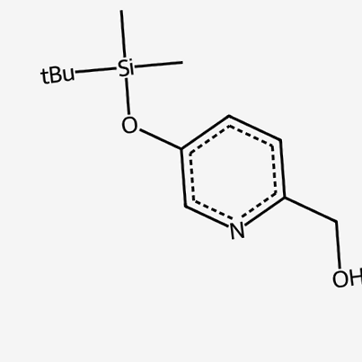 CC(C)(C)[Si](C)(C)Oc1ccc(CO)nc1